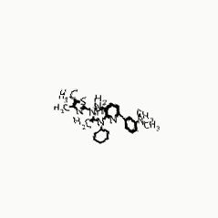 C=C(Nc1nc(C)c(C)s1)N(c1nc(-c2cccc(N(C)C)c2)ccc1N)C1CCCCC1